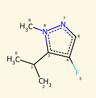 CC(C)c1c(F)cnn1C